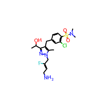 Cc1c(Cc2ccc(S(=O)(=O)N(C)C)c(Cl)c2)c(C(C)O)nn1C/C(F)=C/CN